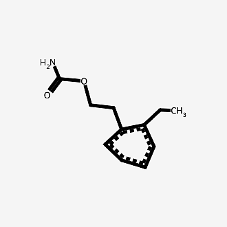 CCc1ccccc1CCOC(N)=O